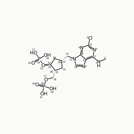 CNc1nc(Cl)nc2c1ncn2C[C@@H]1C[C@H](COP(=O)(O)O)[C@@H](OP(=O)(O)O)C1